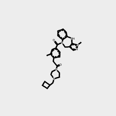 Cc1cc(C(=O)N2Cc3cnn(C)c3Nc3ccccc32)ccc1CC(=O)N1CCN(CC2CCC2)CC1